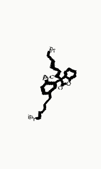 CC(=O)c1ccc(CCCCCC(C)C)cc1C1(CCCCCC(C)C)C(=O)Oc2ccccc21